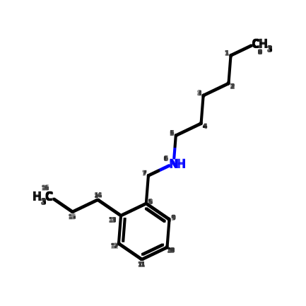 CCCCCCNCc1ccccc1CCC